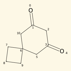 O=C1CC(=O)CC2(CCC2)C1